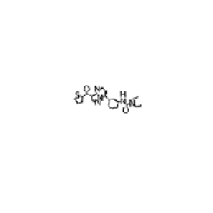 CCN(CC)C(=O)Nc1cccc(-c2ccnc3c(C(=O)c4cccs4)cnn23)c1